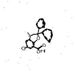 CN1CC(c2ccccc2)(c2ccccc2)Oc2c(C(=O)O)cc(Cl)cc21